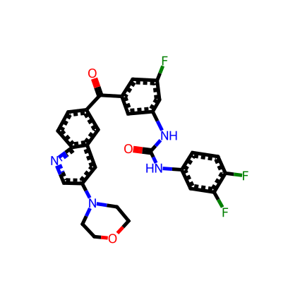 O=C(Nc1cc(F)cc(C(=O)c2ccc3ncc(N4CCOCC4)cc3c2)c1)Nc1ccc(F)c(F)c1